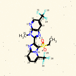 CCS(=O)(=O)c1c(-c2nc3cc(C(F)(F)F)cnc3n2C)nc2cccc(C(F)(F)F)n12